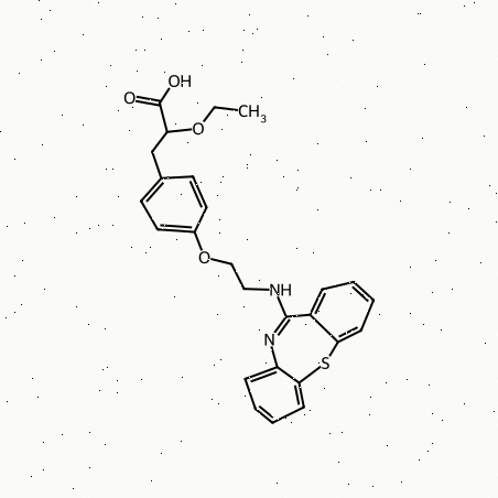 CCOC(Cc1ccc(OCCNC2=Nc3ccccc3Sc3ccccc32)cc1)C(=O)O